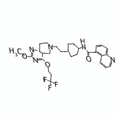 COc1nc2c(c(OCCC(F)(F)F)n1)CN(CCC1CCC(NC(=O)c3cccc4ncccc34)CC1)CC2